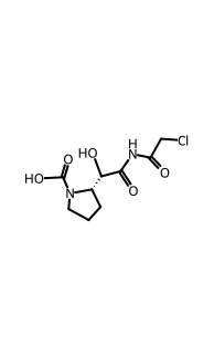 O=C(CCl)NC(=O)C(O)[C@@H]1CCCN1C(=O)O